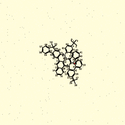 CC(C)(C)c1ccc(N2B3c4c(cc5ccccc5c4N(c4ccc(C(C)(C)C)cc4-c4ccccc4)c4oc5ccccc5c43)-c3cc4c(cc32)C(C)(C)c2ccccc2-4)cc1